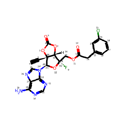 C#C[C@@]12OC(=O)O[C@@H]1[C@@](F)(COC(=O)Cc1cccc(Cl)c1)O[C@H]2n1cnc2c(N)ncnc21